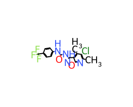 Cc1nc2onc(NC(=O)Nc3ccc(C(F)(F)F)cc3)c2c(C)c1Cl